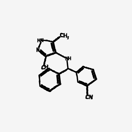 Cc1n[nH]c(C)c1NC(c1ccccc1)c1cccc(C#N)c1